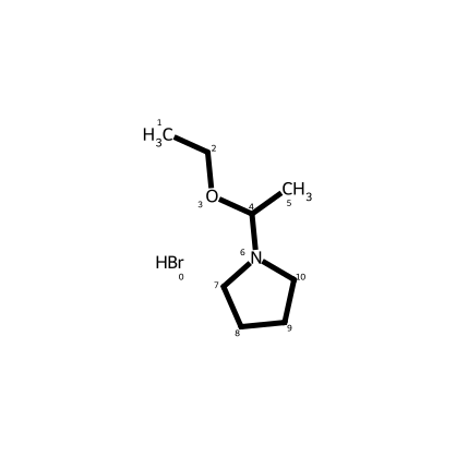 Br.CCOC(C)N1CCCC1